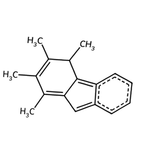 CC1=C2C=c3ccccc3=C2C(C)C(C)=C1C